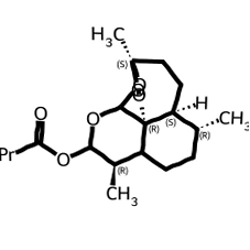 CC(C)C(=O)OC1OC2O[C@]3(C)CC[C@H]4[C@H](C)CCC([C@H]1C)[C@@]24OO3